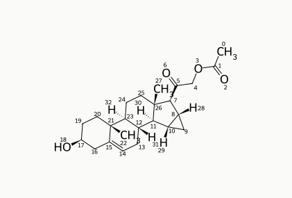 CC(=O)OCC(=O)[C@H]1[C@@H]2C[C@@H]2[C@H]2[C@@H]3CC=C4C[C@@H](O)CC[C@]4(C)[C@H]3CC[C@@]21C